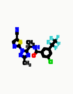 Cc1nc([C@H](C)NC(=O)c2cc(Cl)cc(C(F)(F)C(F)(F)F)c2)n(-c2ncc(C#N)s2)n1